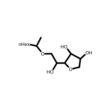 CCCCCCC(C)OCC(O)C1OCC(O)C1O